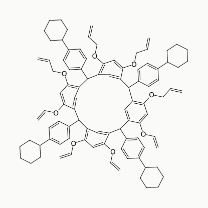 C=CCOc1cc(OC=C)c2cc1C(c1ccc(C3CCCCC3)cc1)c1cc(c(OCC=C)cc1OCC=C)C(c1ccc(C3CCCCC3)cc1)c1cc(c(OC=C)cc1OCC=C)C(c1ccc(C3CCCCC3)cc1)c1cc(c(OC=C)cc1OC=C)C2c1ccc(C2CCCCC2)cc1